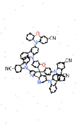 N#Cc1ccc2c(c1)Oc1ccccc1N2c1ccc2c(c1)c1ccccc1n2-c1ccc2c(c1)Oc1cc(-n3c4ccccc4c4cc(C#N)ccc43)ccc1C21c2cc(-n3c4ccccc4c4cc(C#N)ccc43)cnc2-c2ncc(-n3c4ccccc4c4cc(C#N)ccc43)cc21